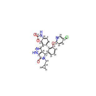 O=C1c2[nH]nc(-c3cccc4[nH]c(=O)oc34)c2C(c2cccc(Oc3ccc(Cl)cn3)c2)N1CC1CC1